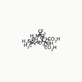 C[N+](C)(C)CCOC(=O)C(O)(CC(=O)O)CC(=O)O.NC(=O)C(F)(F)F